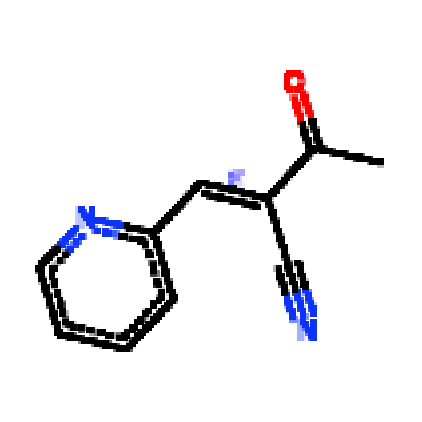 CC(=O)/C(C#N)=C/c1ccccn1